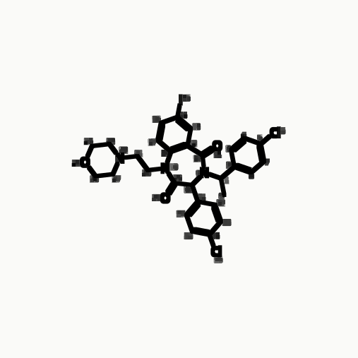 CC(c1ccc(Cl)cc1)N1C(=O)c2cc(I)ccc2N(CCN2CCOCC2)C(=O)C1c1ccc(Cl)cc1